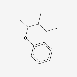 CCC(C)C(C)Oc1[c]cccc1